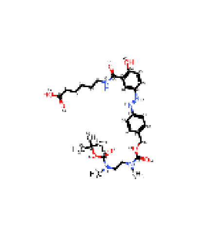 CN(CCN(C)C(=O)OC(C)(C)C)C(=O)OCc1ccc(/N=N/c2ccc(O)c(C(=O)NCCCCCC(=O)O)c2)cc1